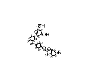 Cc1ccc([C@H]2C[C@@H](O)C[C@@H](CO)O2)cc1Cc1ccc(OCC2Cc3ccc(F)cc3O2)cc1